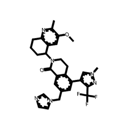 COc1cc2c(nc1C)CCCC2N1CCc2c(cc(Cn3ccnc3)cc2-c2cn(C)nc2C(F)(F)F)C1=O